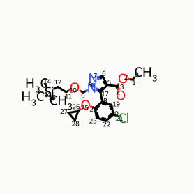 CCOC(=O)c1cnn(COCC[Si](C)(C)C)c1-c1cc(Cl)ccc1OC1CC1